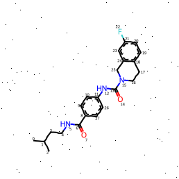 CC(C)CCNC(=O)c1ccc(NC(=O)N2CCc3ccc(F)cc3C2)cc1